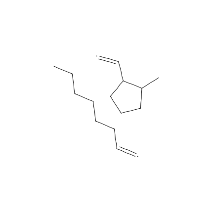 [CH]=CC1CCCC1C.[CH]=CCCCCCC